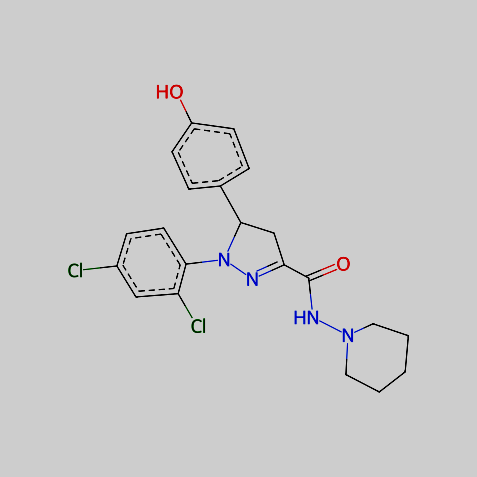 O=C(NN1CCCCC1)C1=NN(c2ccc(Cl)cc2Cl)C(c2ccc(O)cc2)C1